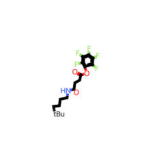 CC(C)(C)CCCCNC(=O)CCC(=O)Oc1c(F)c(F)c(F)c(F)c1F